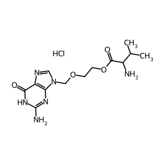 CC(C)C(N)C(=O)OCCOCn1cnc2c(=O)[nH]c(N)nc21.Cl